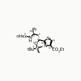 CCCCCCN[C@H](C[C@@H](O[Si](C)(C)C(C)(C)C)c1nc(C(=O)OCC)cs1)C(C)C